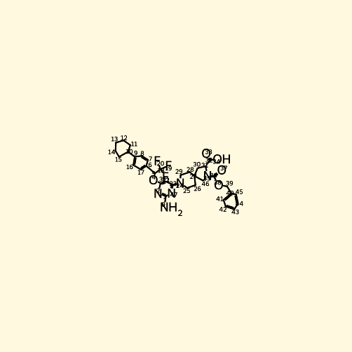 Nc1nc(O[C@H](c2ccc(C3CCCCC3)cc2)C(F)(F)F)cc(N2CCC3(CC2)C[C@@H](C(=O)O)N(C(=O)OCc2ccccc2)C3)n1